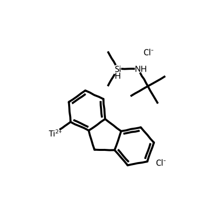 C[SiH](C)NC(C)(C)C.[Cl-].[Cl-].[Ti+2][c]1cccc2c1Cc1ccccc1-2